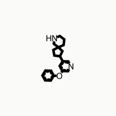 c1ccc(Oc2cncc(C3CCC4(CCCNC4)C3)c2)cc1